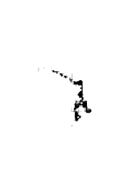 O=C(O)CCOCCOCCOCCNC(=O)c1cccc(CSCc2cccc(C(=O)Nc3ccc(N4CCCCC4)cc3-c3cc(C(=O)NCc4cccc(C(F)(F)F)c4)ccn3)c2)c1